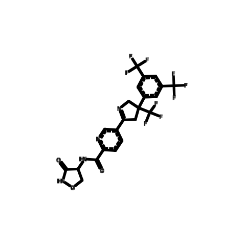 O=C(NC1CONC1=O)c1ccc(C2=NCC(c3cc(C(F)(F)F)cc(C(F)(F)F)c3)(C(F)(F)F)C2)cn1